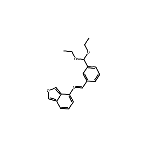 CCOC(OCC)c1cccc(/C=N/c2cccc3cocc23)c1